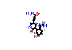 CCNc1nc2c(C#CC(N)=O)c[nH]c(=O)c2c2cc(Br)ccc12